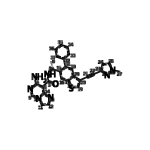 C[C@@H](NC(=O)c1c(N)ncn2ccnc12)c1cc2scc(C#Cc3ccn(C)n3)c2cc1-c1ccccc1